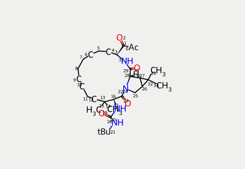 CC(=O)C(=O)[C@@H]1CCCCCCCCCC(C)(C)[C@H](NC(=O)NC(C)(C)C)C(=O)N2CC3C([C@H]2C(=O)N1)C3(C)C